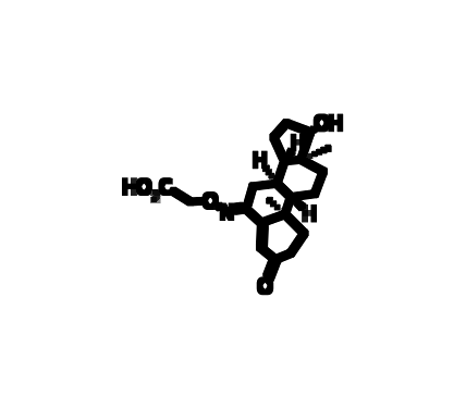 C[C@]12CC[C@H]3[C@@H](CC(=NOCC(=O)O)C4=CC(=O)CC[C@@]43C)[C@@H]1CC[C@@H]2O